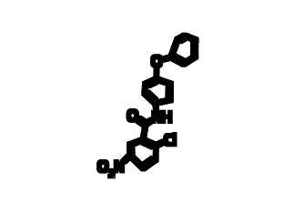 O=C(Nc1ccc(Oc2ccccc2)cc1)c1cc([N+](=O)[O-])ccc1Cl